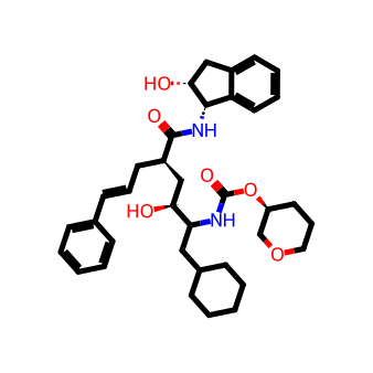 O=C(NC(CC1CCCCC1)[C@@H](O)C[C@@H](CC=Cc1ccccc1)C(=O)N[C@H]1c2ccccc2C[C@H]1O)O[C@H]1CCCOC1